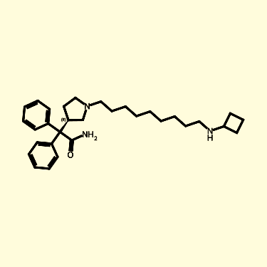 NC(=O)C(c1ccccc1)(c1ccccc1)[C@H]1CCN(CCCCCCCCCNC2CCC2)C1